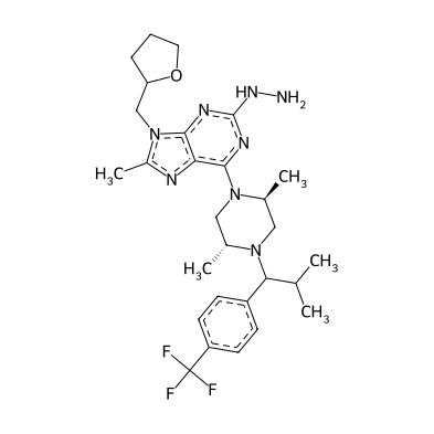 Cc1nc2c(N3C[C@@H](C)N(C(c4ccc(C(F)(F)F)cc4)C(C)C)C[C@@H]3C)nc(NN)nc2n1CC1CCCO1